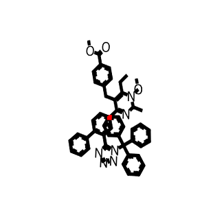 CCC1=C(Cc2ccc(C(=O)OC)cc2)C(c2ccc(-c3ccccc3)c(-c3nnnn3C(c3ccccc3)(c3ccccc3)c3ccccc3)c2)=NC(C)N1OC